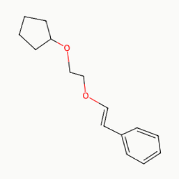 C(=Cc1ccccc1)OCCOC1CCCC1